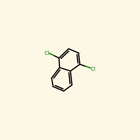 Clc1[c]cc(Cl)c2c[c]ccc12